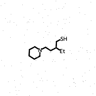 CCC(CS)CCN1CCCCC1